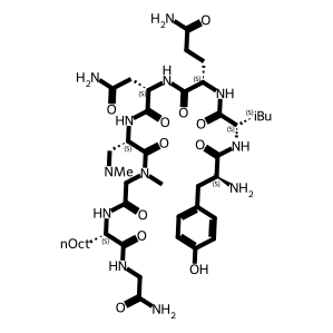 CCCCCCCC[C@H](NC(=O)CN(C)C(=O)[C@H](CNC)NC(=O)[C@H](CC(N)=O)NC(=O)[C@H](CCC(N)=O)NC(=O)[C@@H](NC(=O)[C@@H](N)Cc1ccc(O)cc1)[C@@H](C)CC)C(=O)NCC(N)=O